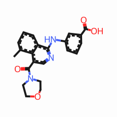 Cc1cccc2c(Nc3cccc(C(=O)O)c3)ncc(C(=O)N3CCOCC3)c12